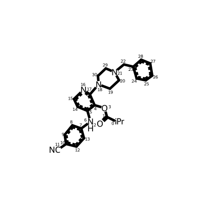 CC(C)C(=O)Oc1c(Nc2ccc(C#N)cc2)ccnc1N1CCN(Cc2ccccc2)CC1